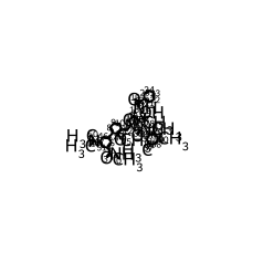 CNC(=O)c1cc(-c2cccc(CN3O[C@@H](CNC(=O)c4ccccc4)[C@@H]([C@H](C)O)[C@H]3C(=O)N[C@H]3C[C@H](C)C[C@H](C)[C@@H]3C)c2OC)cc(N(C)C)c1